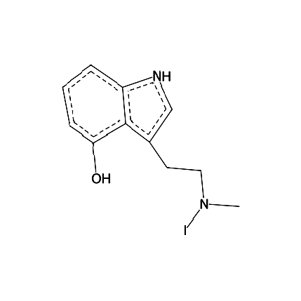 CN(I)CCc1c[nH]c2cccc(O)c12